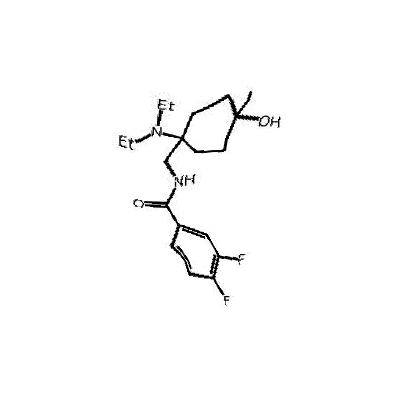 CCN(CC)C1(CNC(=O)c2ccc(F)c(F)c2)CCC(C)(O)CC1